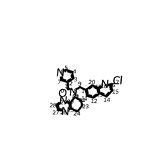 O=C(c1cccnc1)N(Cc1ccc2ccc(Cl)nc2c1)[C@@H]1CCCc2nccnc21